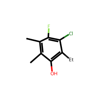 CCc1c(O)c(C)c(C)c(F)c1Cl